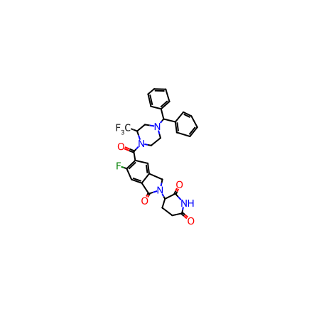 O=C1CCC(N2Cc3cc(C(=O)N4CCN(C(c5ccccc5)c5ccccc5)CC4C(F)(F)F)c(F)cc3C2=O)C(=O)N1